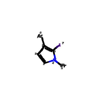 CC(=O)c1ccn(C(C)C)c1I